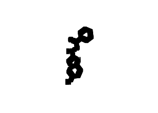 O=C(ONc1cn2cc(Br)ccc2n1)c1ccccc1